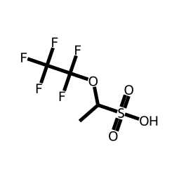 CC(OC(F)(F)C(F)(F)F)S(=O)(=O)O